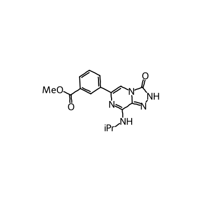 COC(=O)c1cccc(-c2cn3c(=O)[nH]nc3c(NC(C)C)n2)c1